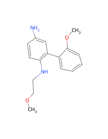 COCCNc1ccc(N)cc1-c1ccccc1OC